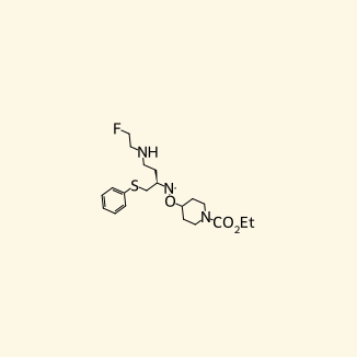 CCOC(=O)N1CCC(O[N][C@H](CCNCCF)CSc2ccccc2)CC1